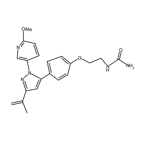 C=C(C)c1cc(-c2ccc(OCCNC(N)=O)cc2)n(-c2ccc(OC)nc2)n1